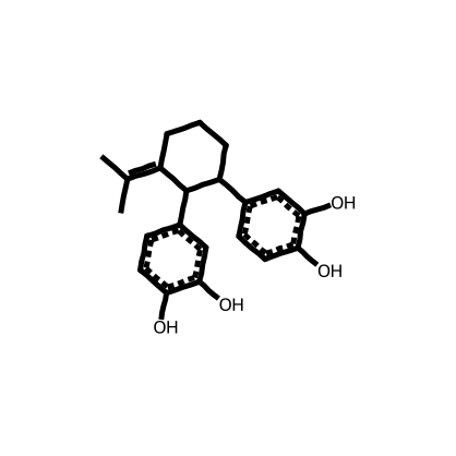 CC(C)=C1CCCC(c2ccc(O)c(O)c2)C1c1ccc(O)c(O)c1